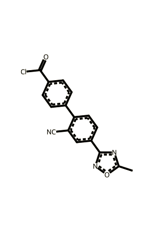 Cc1nc(-c2ccc(-c3ccc(C(=O)Cl)cc3)c(C#N)c2)no1